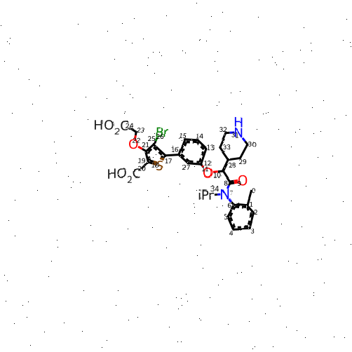 Cc1ccccc1N(C(=O)C(Oc1cccc(-c2sc(C(=O)O)c(OCC(=O)O)c2Br)c1)C1CCNCC1)C(C)C